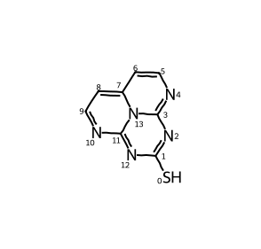 SC1=NC2=NC=CC3=CC=NC(=N1)N32